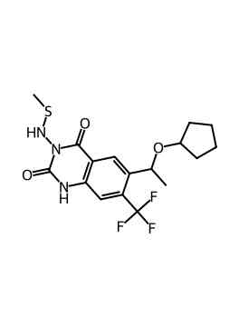 CSNn1c(=O)[nH]c2cc(C(F)(F)F)c(C(C)OC3CCCC3)cc2c1=O